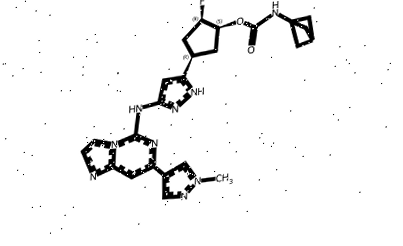 Cn1cc(-c2cc3nccn3c(Nc3cc([C@H]4C[C@@H](F)[C@@H](OC(=O)NC56CC(C5)C6)C4)[nH]n3)n2)cn1